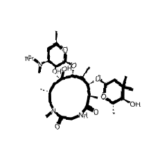 CCCN(C)[C@H]1C[C@@H](C)O[C@@H](O[C@@H]2[C@@H](C)[C@H](O[C@H]3CC(C)(C)[C@@H](O)[C@H](C)O3)[C@@H](C)C(=O)NCC(=O)N(C)C[C@H](C)C[C@@]2(C)O)[C@@H]1O